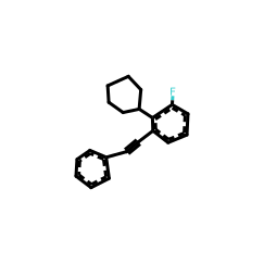 Fc1cccc(C#Cc2ccccc2)c1C1CCCCC1